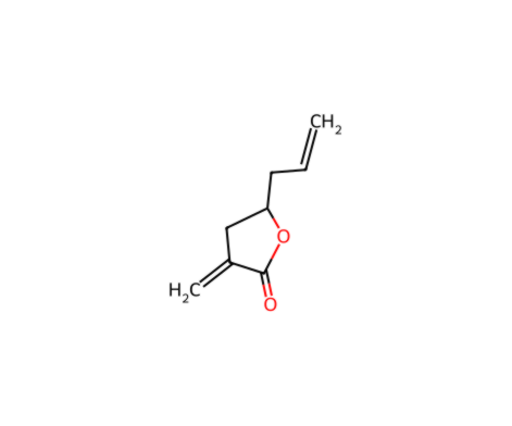 C=CCC1CC(=C)C(=O)O1